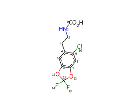 O=C(O)NCCc1cc2c(cc1Cl)OC(F)(F)O2